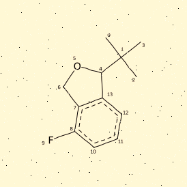 CC(C)(C)C1OCc2c(F)cccc21